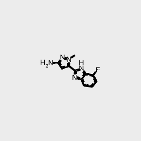 Cn1nc(N)cc1-c1nc2cccc(F)c2[nH]1